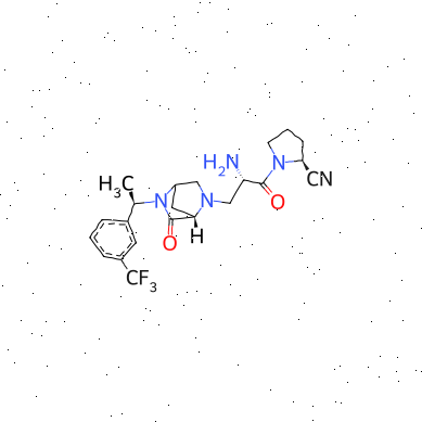 C[C@H](c1cccc(C(F)(F)F)c1)N1C(=O)[C@@H]2CC1CN2C[C@H](N)C(=O)N1CCC[C@H]1C#N